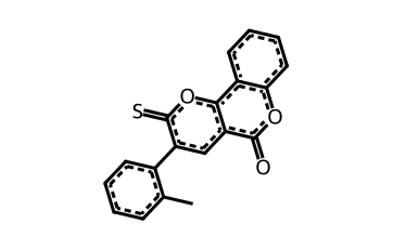 Cc1ccccc1-c1cc2c(=O)oc3ccccc3c2oc1=S